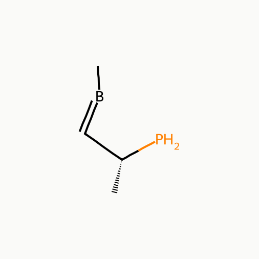 C/B=C/[C@@H](C)P